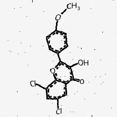 COc1ccc(-c2oc3c(Cl)cc(Cl)cc3c(=O)c2O)cc1